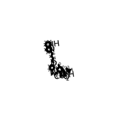 Cc1cc([C@H](C(=O)O)N(C)[C@H]2CC[C@H](OCCCCc3ccc4c(n3)NCCC4)C2)c2c(c1)n(C1(C)CC1)c(=O)n2C